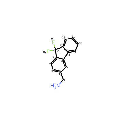 NCc1ccc2c(c1)-c1ccccc1C2(F)F